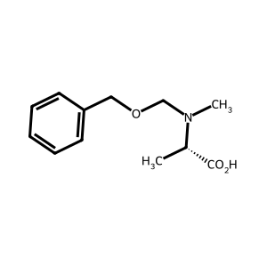 C[C@@H](C(=O)O)N(C)COCc1ccccc1